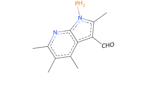 Cc1nc2c(c(C)c1C)c(C=O)c(C)n2P